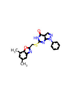 Cc1cc(C)c2oc(CSc3nc4c(cnn4-c4ccccc4)c(=O)[nH]3)nc2c1